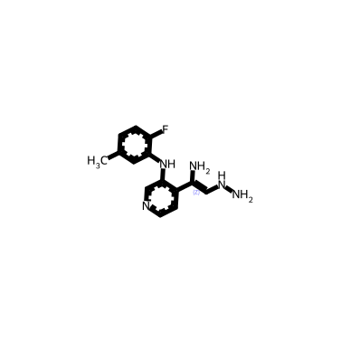 Cc1ccc(F)c(Nc2cnccc2/C(N)=C/NN)c1